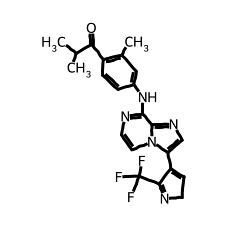 Cc1cc(Nc2nccn3c(C4=CCN=C4C(F)(F)F)cnc23)ccc1C(=O)C(C)C